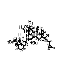 CC[C@H]1C[C@]1(NC(=O)[C@@H]1[C@@H]2[C@H](CN1C(=O)[C@@H](NC(=O)NC1([C@@H](C)S(=O)(=O)C(C)(C)C)CCCCC1)C(C)(C)C)C2(C)C)C(=O)C(=O)NCC1CC1